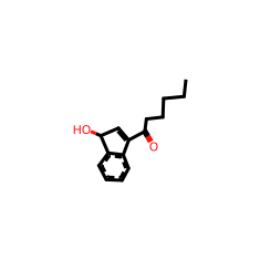 CCCCCC(=O)C1=CC(O)c2ccccc21